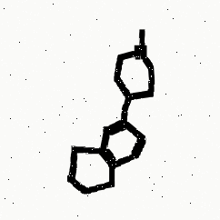 CN1CCC(c2ccc3c(c2)CCCC3)CC1